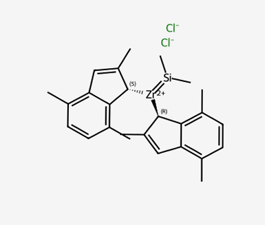 CC1=Cc2c(C)ccc(C)c2[C@@H]1[Zr+2]([C@H]1C(C)=Cc2c(C)ccc(C)c21)=[Si](C)C.[Cl-].[Cl-]